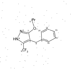 CC(C)Oc1n[nH]c(C(F)(F)F)c1Cc1ccccc1